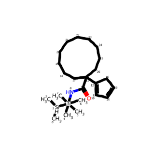 C[SiH](C)[Ti]([CH3])([CH3])([CH3])([CH3])[NH]C(=O)C1(C2=CC=CC2)CCCCCCCCCC1